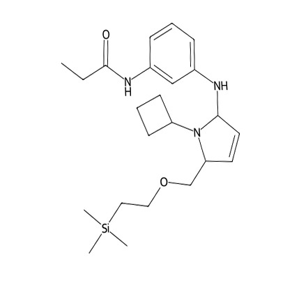 CCC(=O)Nc1cccc(NC2C=CC(COCC[Si](C)(C)C)N2C2CCC2)c1